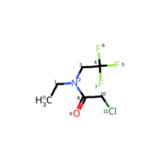 CCN(CC(F)(F)F)C(=O)CCl